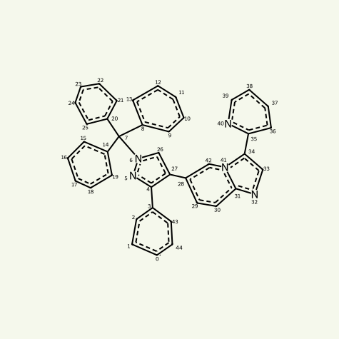 [c]1ccc(-c2nn(C(c3ccccc3)(c3ccccc3)c3ccccc3)cc2-c2ccc3ncc(-c4ccccn4)n3c2)cc1